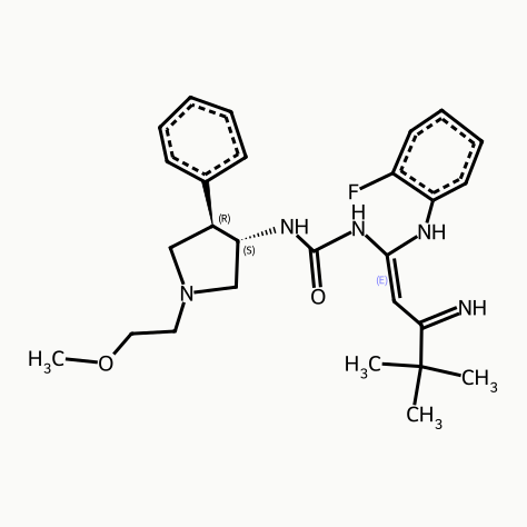 COCCN1C[C@@H](NC(=O)N/C(=C/C(=N)C(C)(C)C)Nc2ccccc2F)[C@H](c2ccccc2)C1